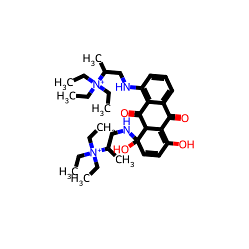 CC[N+](CC)(CC)C(C)CNc1cccc2c1C(=O)C1C(=C(O)C=CC1(O)NCC(C)[N+](CC)(CC)CC)C2=O